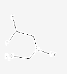 CC(C)N(CC(F)F)CC(F)(F)F